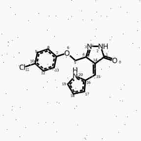 O=C1NN=C(COc2ccc(Cl)cc2)C1=Cc1ccc[nH]1